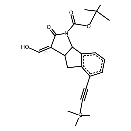 CC(C)(C)OC(=O)N1C(=O)/C(=C\O)C2Cc3c(C#C[Si](C)(C)C)cccc3C21